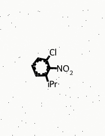 C[C](C)c1cccc(Cl)c1[N+](=O)[O-]